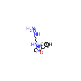 NN=CNCCCCNCC1CCCN1C(=O)C(Cc1ccccc1)NC(=O)O